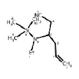 C=CCC(CC#N)N(CC)[Si](C)(C)C